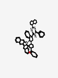 c1ccc(-c2ccc(-c3cc(-c4nc(-c5ccccc5)nc(-c5cccc6ccccc56)n4)c4ccccc4c3-n3c4cc5ccccc5cc4c4cc5ccccc5cc43)cc2)cc1